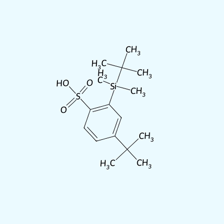 CC(C)(C)c1ccc(S(=O)(=O)O)c([Si](C)(C)C(C)(C)C)c1